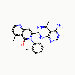 CC(=N)c1c(N)ncnc1NCc1cc2nccc(C)c2c(=O)n1-c1ccccc1C